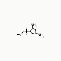 COCC(F)(F)C1CN(N)CC1N